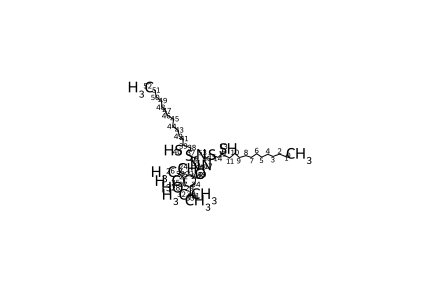 CCCCCCCCCCCCC(S)CSc1nc(Oc2cc(C(C)(C)C)c(O)c(C(C)(C)C)c2)nc(SCC(S)CCCCCCCCCCCC)n1